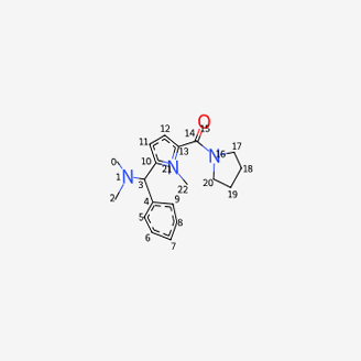 CN(C)C(c1ccccc1)c1ccc(C(=O)N2CCCC2)n1C